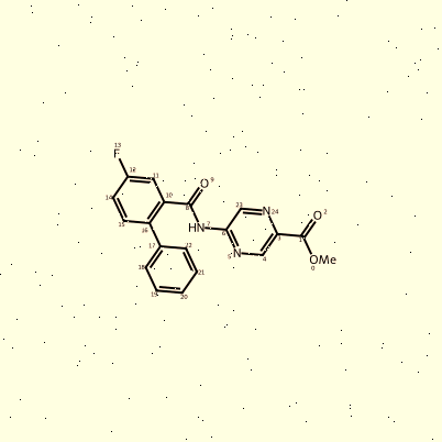 COC(=O)c1cnc(NC(=O)c2cc(F)ccc2-c2ccccc2)cn1